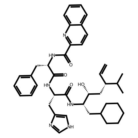 C=C[C@@H](C[C@@H](O)[C@H](CC1CCCCC1)NC(=O)[C@H](Cc1c[nH]cn1)NC(=O)[C@H](Cc1ccccc1)NC(=O)c1ccc2ccccc2n1)C(C)C